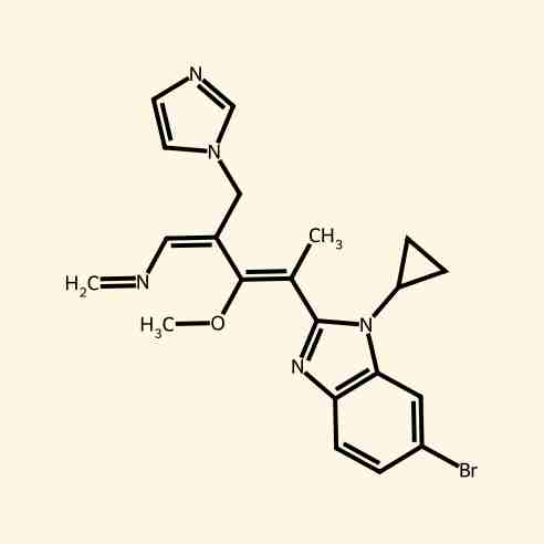 C=N/C=C(Cn1ccnc1)\C(OC)=C(/C)c1nc2ccc(Br)cc2n1C1CC1